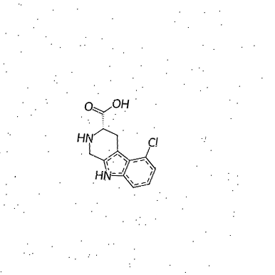 O=C(O)[C@@H]1Cc2c([nH]c3cccc(Cl)c23)CN1